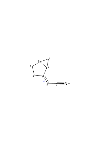 N#C/C=C1/CCC2CC12